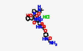 CC(C)(C)NC(=O)[C@@H]1CCCN1C(=O)[C@@H](O)[C@H](Cc1ccccc1)NC(=O)[C@@H](N)CC(=O)NC(=O)COc1ccc(NC(=O)CN)cc1.Cl